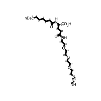 CCCCCCCCCCCCCCCC(=O)N[C@@H](CCC(=O)NCCOCCOCCOCCN=[N+]=N)C(=O)O